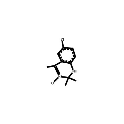 CC1=[N+]([O-])C(C)(C)Nc2ccc(Cl)cc21